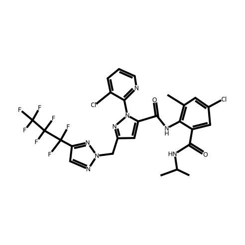 Cc1cc(Cl)cc(C(=O)NC(C)C)c1NC(=O)c1cc(Cn2ncc(C(F)(F)C(F)(F)C(F)(F)F)n2)nn1-c1ncccc1Cl